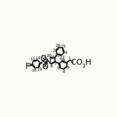 O=C(O)Cc1cccc(-c2cn(S(=O)(=O)c3ccc(F)cc3)cc2-c2ccccc2)c1